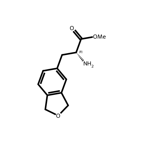 COC(=O)[C@H](N)Cc1ccc2c(c1)COC2